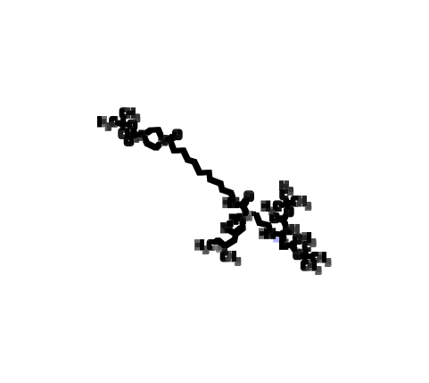 CC[C@H](C)Cc1cn([C@@H](CCCN/C(=N/C(=O)OC(C)(C)C)NC(=O)OC(C)(C)C)C(=O)NCCCCCCCCCCC(=O)N2CCN(C(=O)OC(C)(C)C)CC2)nn1